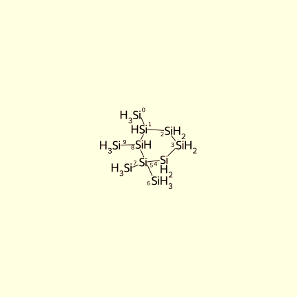 [SiH3][SiH]1[SiH2][SiH2][SiH2][Si]([SiH3])([SiH3])[SiH]1[SiH3]